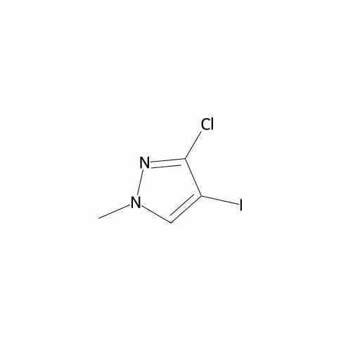 Cn1cc(I)c(Cl)n1